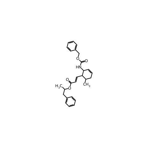 CC(Cc1ccccc1)OC(=O)C=CC1C(C)CC=CC1NC(=O)OCc1ccccc1